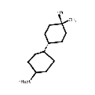 CCCCCCCC1CCC([C@H]2CC[C@](C)(CCC)CC2)CC1